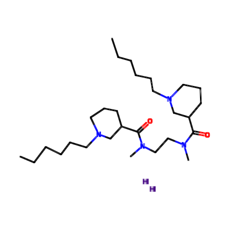 CCCCCCN1CCCC(C(=O)N(C)CCN(C)C(=O)C2CCCN(CCCCCC)C2)C1.I.I